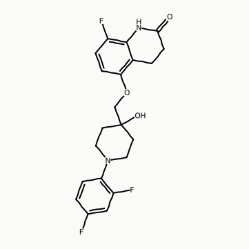 O=C1CCc2c(OCC3(O)CCN(c4ccc(F)cc4F)CC3)ccc(F)c2N1